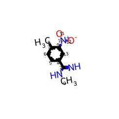 CNC(=N)c1ccc(C)c([N+](=O)[O-])c1